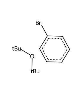 Brc1ccccc1.CC(C)(C)OC(C)(C)C